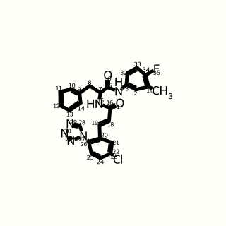 Cc1cc(NC(=O)C(Cc2ccccc2)NC(=O)/C=C/c2cc(Cl)ccc2-n2cnnn2)ccc1F